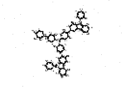 Fc1ccc(-c2ccc(N(c3ccc(-c4ccc5c(c4)c4ccccc4n5-c4ccccc4)cc3)c3ccc(-c4ccc5c6ccccc6n(-c6ccccc6)c5c4)cc3)cc2)cc1